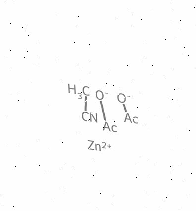 CC#N.CC(=O)[O-].CC(=O)[O-].[Zn+2]